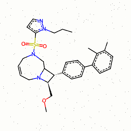 CCCn1nccc1S(=O)(=O)N1C/C=C\CN2C(C1)[C@H](c1ccc(-c3cccc(C)c3C)cc1)[C@H]2COC